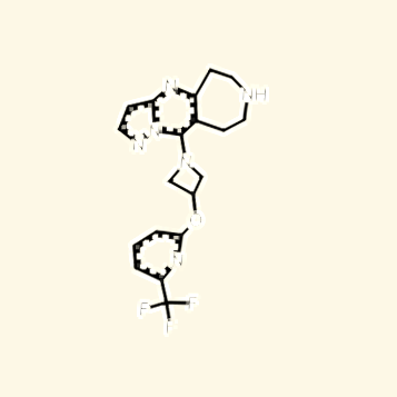 FC(F)(F)c1cccc(OC2CN(c3c4c(nc5ccnn35)CCNCC4)C2)n1